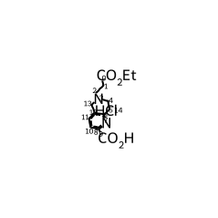 CCOC(=O)CCN1CCc2nc(C(=O)O)ccc2C1.Cl